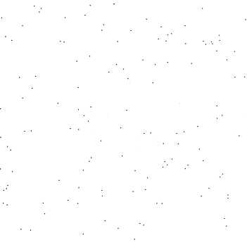 CCCCc1ccc2ccccc2c1S(=O)(=O)[O-].CCCCc1ccc2ccccc2c1S(=O)(=O)[O-].[Fe+2]